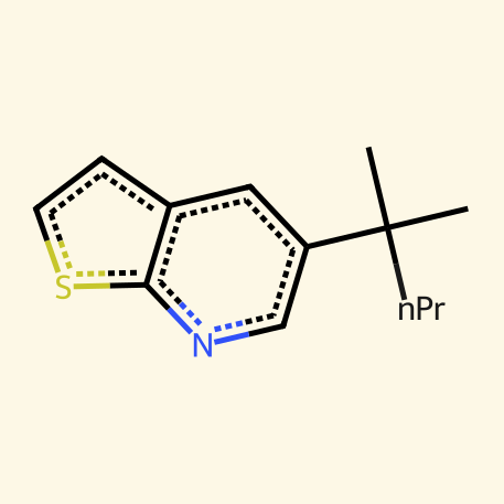 CCCC(C)(C)c1cnc2sccc2c1